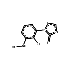 O=c1ocnn1-c1cccc(NO)c1Cl